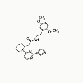 COc1ccc(OC)c(CCNC(=O)CC2CCCCN2c2ccnc(-n3ccnc3)n2)c1